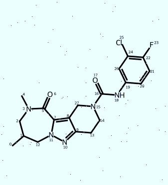 CC1CN(C)C(=O)c2c3c(nn2C1)CCN(C(=O)Nc1ccc(F)c(Cl)c1)C3